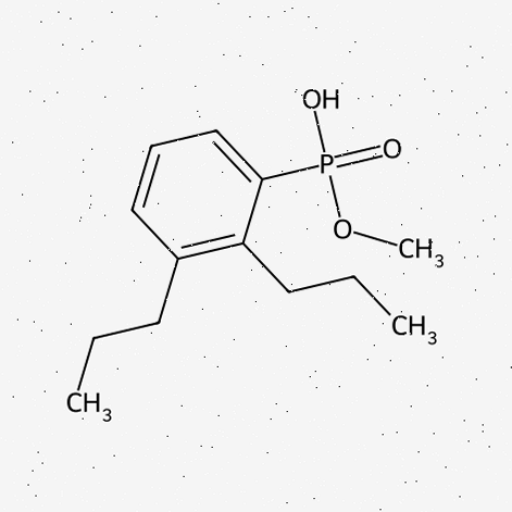 CCCc1cccc(P(=O)(O)OC)c1CCC